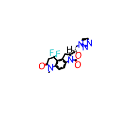 CN1C(=O)CC(F)(F)c2c1ccc1c2C[C@H]2[C@H](Cn3ccnn3)OC(=O)N12